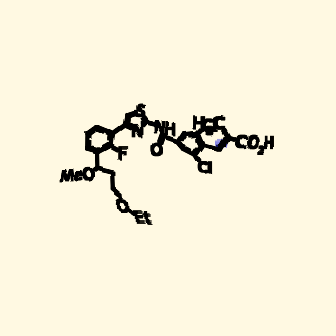 CCOCCCC(OC)c1cccc(-c2csc(NC(=O)c3cc(Cl)c(/C=C(\C)C(=O)O)c(Cl)c3)n2)c1F